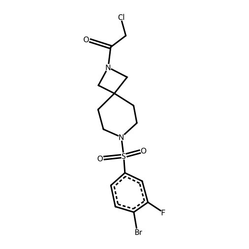 O=C(CCl)N1CC2(CCN(S(=O)(=O)c3ccc(Br)c(F)c3)CC2)C1